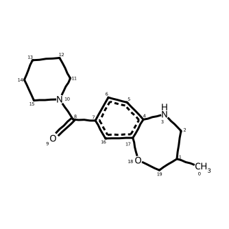 CC1CNc2ccc(C(=O)N3CCCCC3)cc2OC1